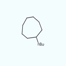 CCC[CH]C1CCCCCCC1